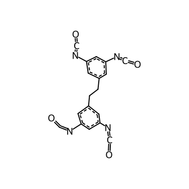 O=C=Nc1cc(CCc2cc(N=C=O)cc(N=C=O)c2)cc(N=C=O)c1